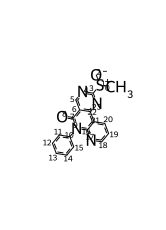 C[S+]([O-])c1ncc2c(=O)n(-c3ccccc3)c3ncccc3c2n1